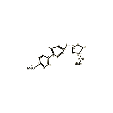 COc1ccc(-c2ccc(C[C@@H]3CC[C@H](NC(C)(C)C)C3)cc2)cc1